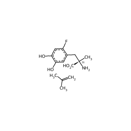 C=C(C)C.C[C@](N)(Cc1cc(O)c(O)cc1F)C(=O)O